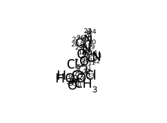 CC(C)(Oc1cc(Cl)c(Oc2ccncc2C(=O)N2CCN(C3CC3)c3ccccc32)cc1Cl)C(=O)O